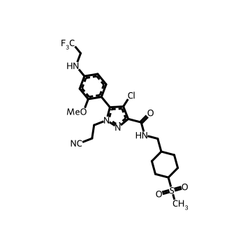 COc1cc(NCC(F)(F)F)ccc1-c1c(Cl)c(C(=O)NCC2CCC(S(C)(=O)=O)CC2)nn1CCC#N